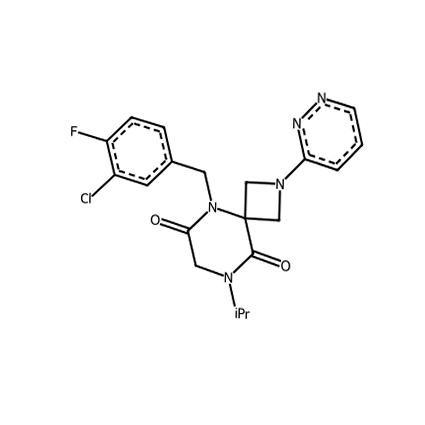 CC(C)N1CC(=O)N(Cc2ccc(F)c(Cl)c2)C2(CN(c3cccnn3)C2)C1=O